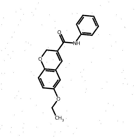 CCOc1ccc2c(c1)C=C(C(=O)Nc1ccccc1)CO2